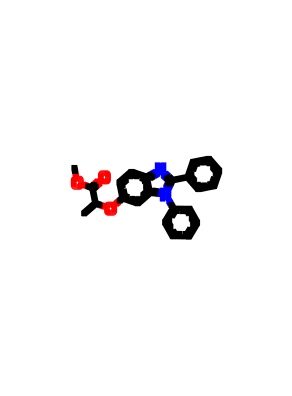 COC(=O)C(C)Oc1ccc2nc(-c3ccccc3)n(-c3ccccc3)c2c1